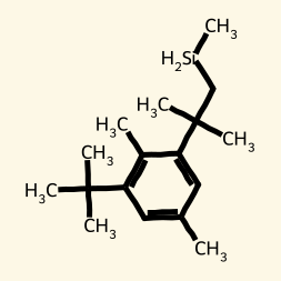 C[SiH2]CC(C)(C)c1cc(C)cc(C(C)(C)C)c1C